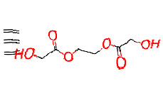 C=C.C=C.C=C.O=C(CO)OCCOC(=O)CO